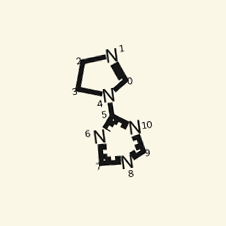 C1=NCCN1c1ncncn1